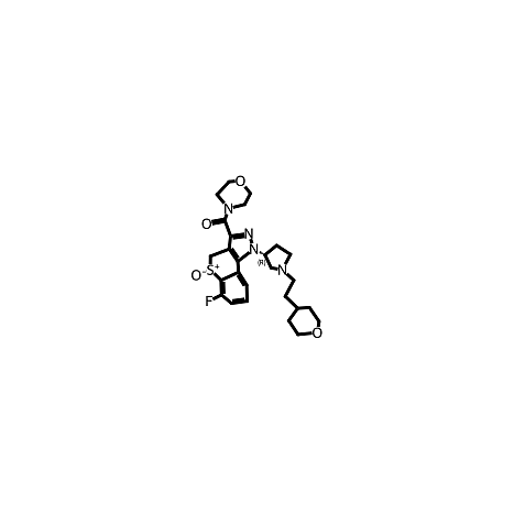 O=C(c1nn([C@@H]2CCN(CCC3CCOCC3)C2)c2c1C[S+]([O-])c1c(F)cccc1-2)N1CCOCC1